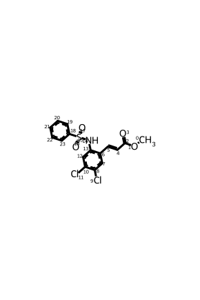 COC(=O)C=Cc1cc(Cl)c(Cl)cc1NS(=O)(=O)c1ccccc1